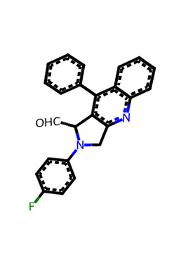 O=CC1c2c(nc3ccccc3c2-c2ccccc2)CN1c1ccc(F)cc1